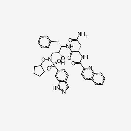 NC(=O)C[C@H](NC(=O)c1ccc2ccccc2n1)C(=O)N[C@@H](Cc1ccccc1)[C@H](O)CN(OC1CCCC1)S(=O)(=O)c1ccc2cn[nH]c2c1